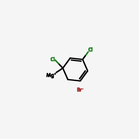 [Br-].[Mg+][C]1(Cl)C=C(Cl)C=CC1